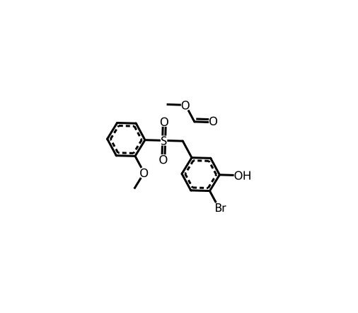 COC=O.COc1ccccc1S(=O)(=O)Cc1ccc(Br)c(O)c1